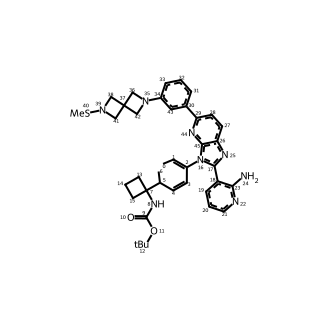 C/C=C(\C=C/C(C)C1(NC(=O)OC(C)(C)C)CCC1)n1c(-c2cccnc2N)nc2ccc(-c3cccc(N4CC5(CN(SC)C5)C4)c3)nc21